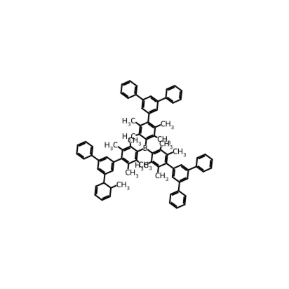 Cc1c(C)c(-c2cc(-c3ccccc3)cc(-c3ccccc3)c2)c(C)c(C)c1B(c1c(C)c(C)c(-c2cc(-c3ccccc3)cc(-c3ccccc3)c2)c(C)c1C)c1c(C)c(C)c(-c2cc(-c3ccccc3)cc(C3C=CC=CC3C)c2)c(C)c1C